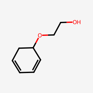 OCCOC1C=CC=CC1